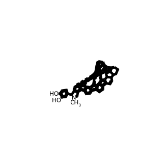 CN1Cc2c(c3c4c5c6c7c8c9c5c5c%10c4c2c2ccc4c%11ccc%12c%13c(c%14c%12c%11c(c4c2%10)c5c%149)C8C(C=C%13)C7CCC36)C1c1ccc(O)c(O)c1